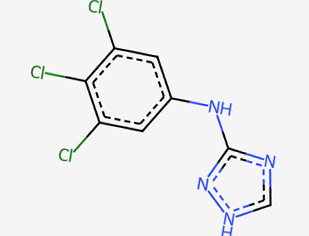 Clc1cc(Nc2nc[nH]n2)cc(Cl)c1Cl